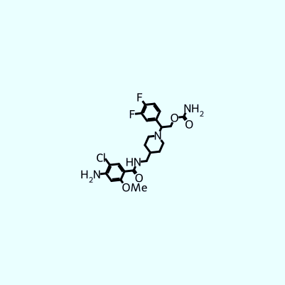 COc1cc(N)c(Cl)cc1C(=O)NCC1CCN(C(COC(N)=O)c2ccc(F)c(F)c2)CC1